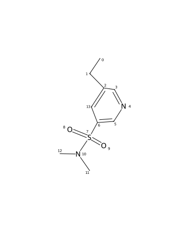 CCc1cncc(S(=O)(=O)N(C)C)c1